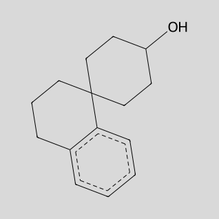 OC1CCC2(CCCc3ccccc32)CC1